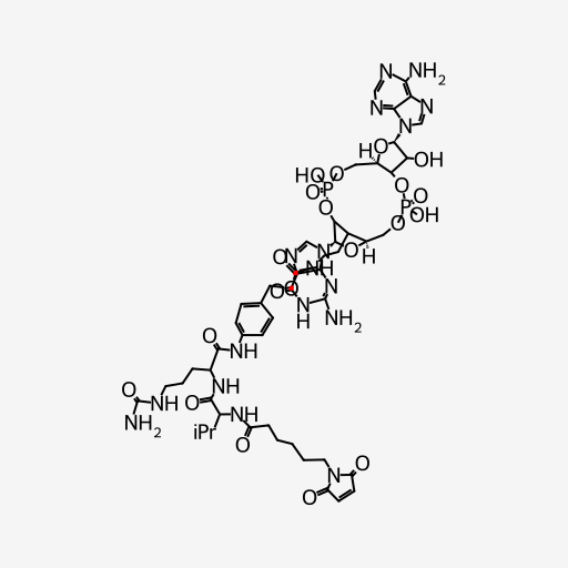 CC(C)C(NC(=O)CCCCCN1C(=O)C=CC1=O)C(=O)NC(CCCNC(N)=O)C(=O)Nc1ccc(COC(=O)NCCC2C3OP(=O)(O)OC[C@H]4O[C@@H](n5cnc6c(N)ncnc65)C(O)C4OP(=O)(O)OC[C@H]2O[C@H]3n2cnc3c(=O)[nH]c(N)nc32)cc1